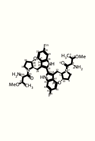 COC(C)[C@H](N)C(=O)N1CC[C@H](OC(C)=O)[C@H]1Cc1c(-c2[nH]c3cc(F)ccc3c2C[C@@H]2[C@@H](OC(C)=O)CCN2C(=O)[C@@H](N)[C@@H](C)OC)[nH]c2cc(F)ccc12